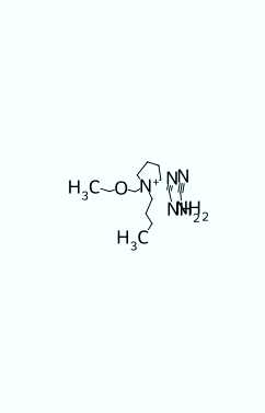 CCCC[N+]1(COCC)CCCC1.N#CN.N#CN